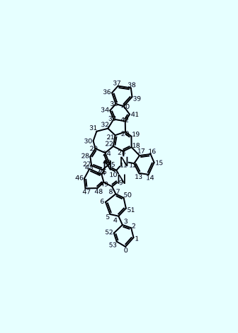 c1ccc(-c2ccc(-c3nc(-n4c5ccccc5c5cc6c7c(c54)-c4ccccc4CCC7c4cc5ccccc5cc4-6)nc4ccccc34)cc2)cc1